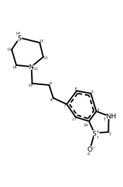 [O-][S+]1CNc2ccc(CCCN3CCSCC3)cc21